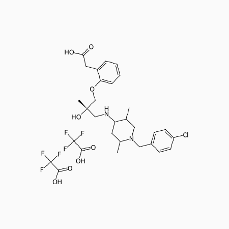 CC1CN(Cc2ccc(Cl)cc2)C(C)CC1NC[C@](C)(O)COc1ccccc1CC(=O)O.O=C(O)C(F)(F)F.O=C(O)C(F)(F)F